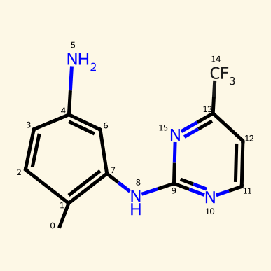 Cc1ccc(N)cc1Nc1nccc(C(F)(F)F)n1